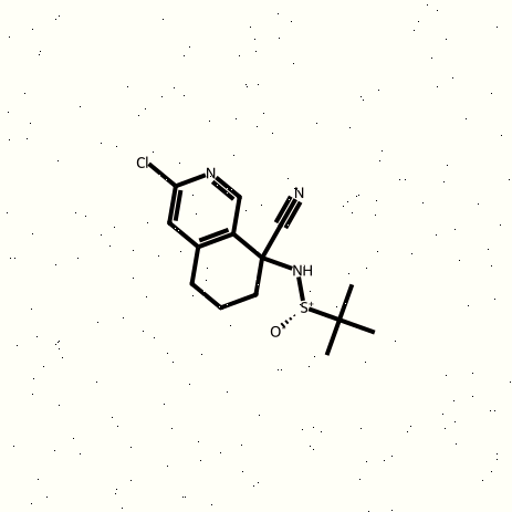 CC(C)(C)[S@+]([O-])NC1(C#N)CCCc2cc(Cl)ncc21